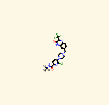 [2H]C([2H])([2H])NC(=O)c1ccc(N2CCN(Cc3ccc4nc(C(F)(F)F)c(=O)[nH]c4c3)CC2)c(Cl)n1